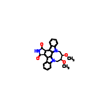 COC1Cn2c3ccccc3c3c4c(c5c6ccccc6n(c5c32)CC1OC)C(=O)NC4=O